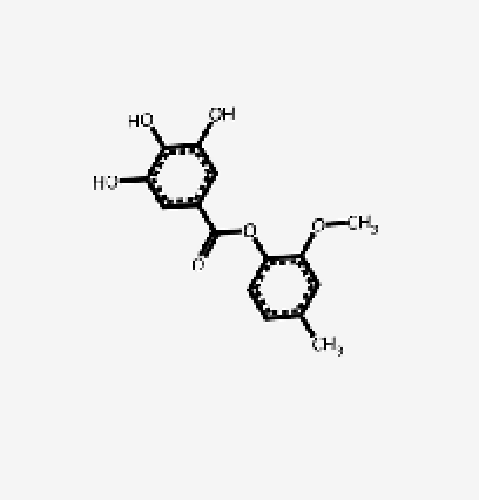 COc1cc(C)ccc1OC(=O)c1cc(O)c(O)c(O)c1